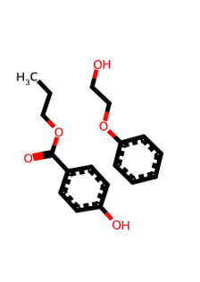 CCCOC(=O)c1ccc(O)cc1.OCCOc1ccccc1